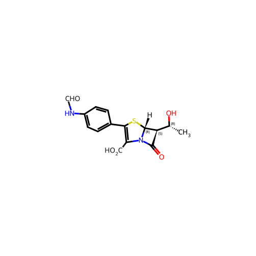 C[C@@H](O)[C@H]1C(=O)N2C(C(=O)O)=C(c3ccc(NC=O)cc3)S[C@H]12